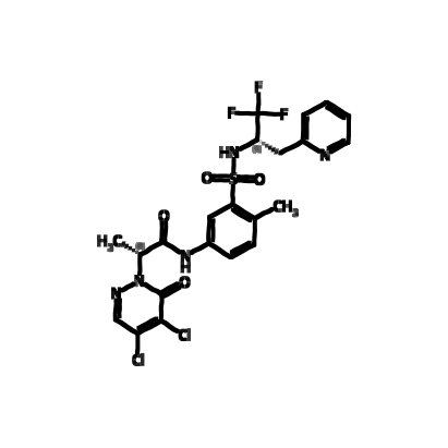 Cc1ccc(NC(=O)[C@@H](C)n2ncc(Cl)c(Cl)c2=O)cc1S(=O)(=O)N[C@@H](Cc1ccccn1)C(F)(F)F